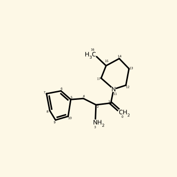 C=C(C(N)Cc1ccccc1)N1CCCC(C)C1